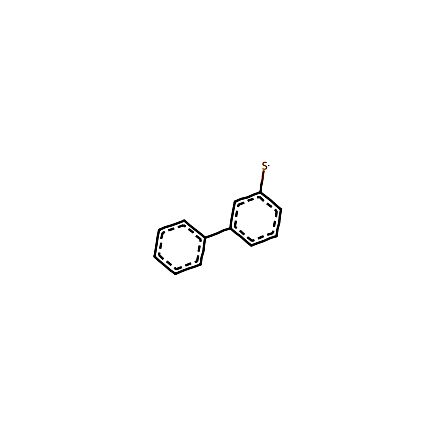 [S]c1cccc(-c2ccccc2)c1